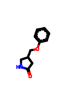 O=C1CC(COc2ccccc2)CN1